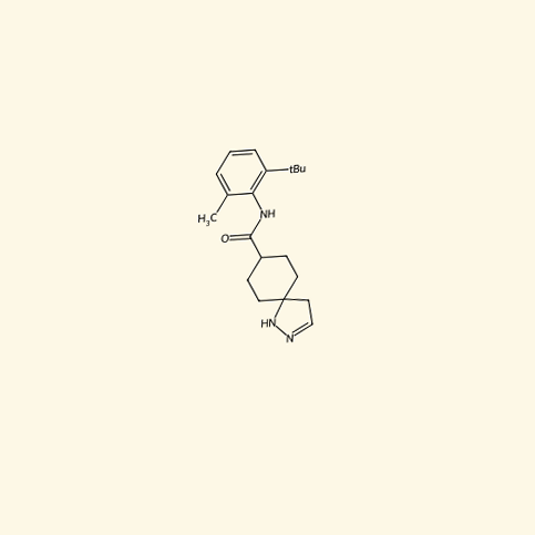 Cc1cccc(C(C)(C)C)c1NC(=O)C1CCC2(CC=NN2)CC1